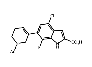 CC(=O)N1CCC=C(c2cc(Cl)c3cc(C(=O)O)[nH]c3c2F)C1